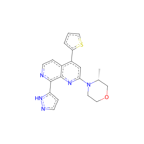 C[C@@H]1COCCN1c1cc(-c2cccs2)c2ccnc(-c3ccn[nH]3)c2n1